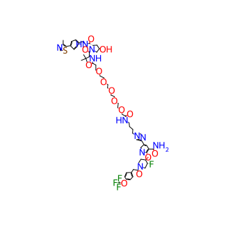 Cc1ncsc1-c1ccc(CNC(=O)[C@@H]2C[C@@H](O)CN2C(=O)[C@@H](NC(=O)CCOCCOCCOCCOCCOCC(=O)NCCCCn2cnc(-c3cnc(O[C@@H]4CCN(C(=O)Cc5ccc(OC(F)(F)F)cc5)C[C@H]4F)c(C(N)=O)c3)c2)C(C)(C)C)cc1